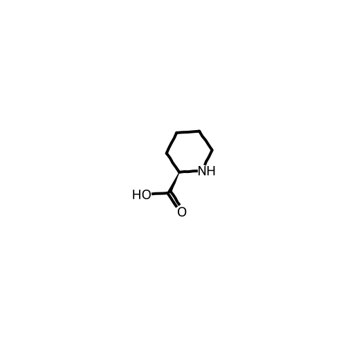 O=C(O)[C@H]1CCCCN1